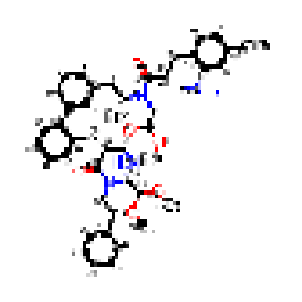 CCOC(CN(CCc1cccc(-c2ccccc2C[C@H](CN)C(=O)N(CCc2ccccc2)CC(OCC)OCC)c1)C(=O)[C@@H](CN)Cc1ccc(OCC(C)C)cc1)OCC